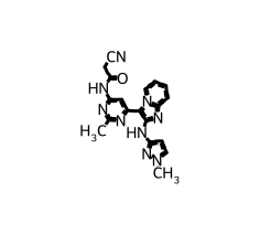 Cc1nc(NC(=O)CC#N)cc(-c2c(Nc3ccn(C)n3)nc3ccccn23)n1